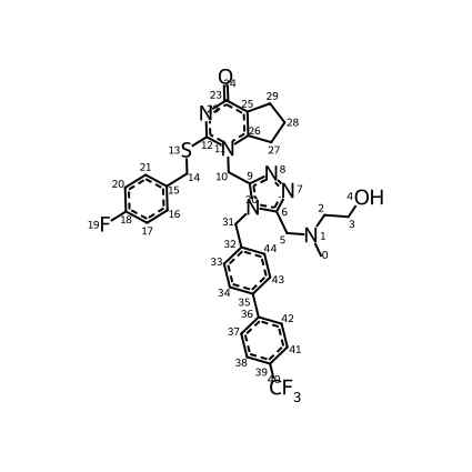 CN(CCO)Cc1nnc(Cn2c(SCc3ccc(F)cc3)nc(=O)c3c2CCC3)n1Cc1ccc(-c2ccc(C(F)(F)F)cc2)cc1